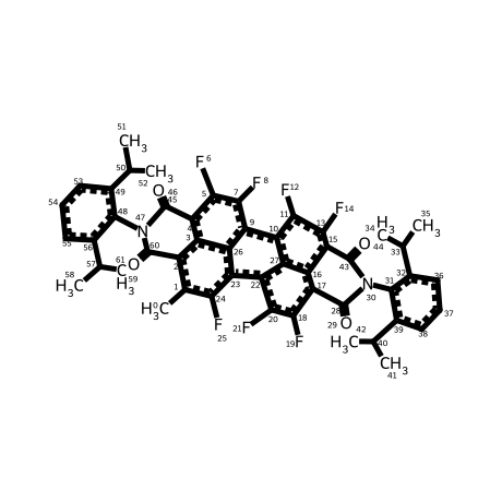 Cc1c2c3c(c(F)c(F)c4c5c(F)c(F)c6c7c(c(F)c(F)c(c(c1F)c34)c75)C(=O)N(c1c(C(C)C)cccc1C(C)C)C6=O)C(=O)N(c1c(C(C)C)cccc1C(C)C)C2=O